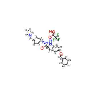 O=C(Nc1ccc(CN2CCCC2)cc1)c1cc2cc(OCc3ccccc3)ccc2[nH]1.O=C(O)C(F)(F)F